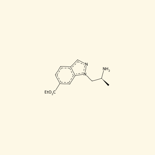 CCOC(=O)c1ccc2cnn(C[C@H](C)N)c2c1